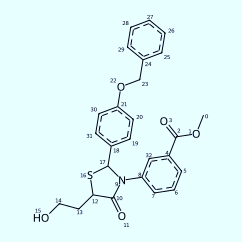 COC(=O)c1cccc(N2C(=O)C(CCO)SC2c2ccc(OCc3ccccc3)cc2)c1